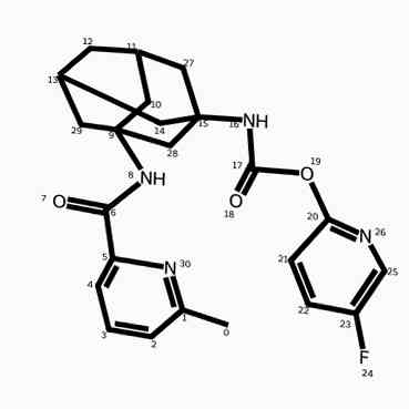 Cc1cccc(C(=O)NC23CC4CC(CC(NC(=O)Oc5ccc(F)cn5)(C4)C2)C3)n1